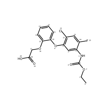 CCOC(=O)Nc1cc(Oc2ccccc2OCC(=O)O)c(Cl)cc1F